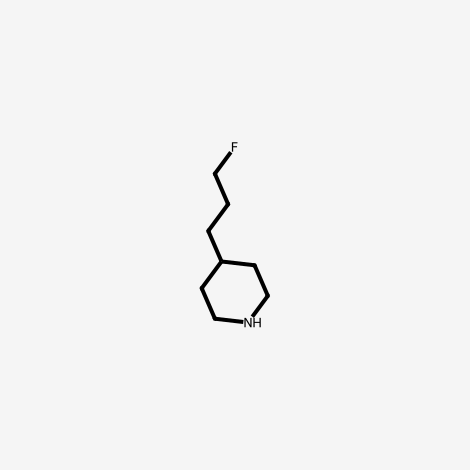 FCCCC1CCNCC1